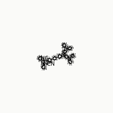 N#Cc1cc(-c2ccc(-c3ccc(-n4c5ccc(N(c6ccccc6)c6ccccc6)cc5c5cc(N(c6ccccc6)c6ccccc6)ccc54)cc3)cc2)cc(C#N)c1-c1cc(-c2ccccc2)nc(-c2ccccc2)n1